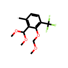 [CH2]c1ccc(C(F)(F)F)c(OCOC)c1C(OC)OC